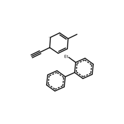 C#C[C]1[C]C=C(C)C=C1.CCc1ccccc1-c1ccccc1